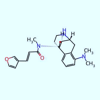 CN(C)c1cccc2c1C[C@H]1NCC[C@@]23C[C@H](N(C)C(=O)/C=C/c2ccoc2)CC[C@@H]13